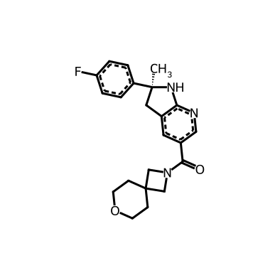 C[C@@]1(c2ccc(F)cc2)Cc2cc(C(=O)N3CC4(CCOCC4)C3)cnc2N1